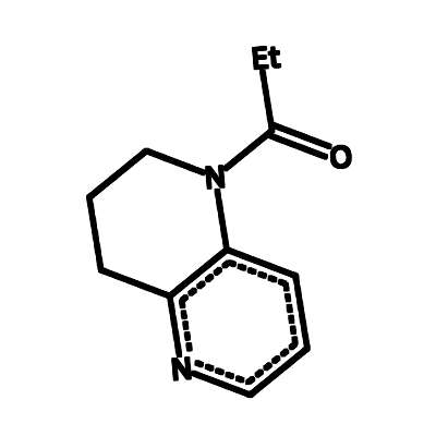 CCC(=O)N1CCCc2ncccc21